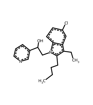 CCCCc1c(CC)c2cc(Cl)ccc2n1CC(O)c1cccnc1